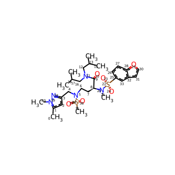 Cc1cc(CN(CC[C@@H](C(=O)N(CC(C)C)CC(C)C)N(C)S(=O)(=O)c2ccc3occc3c2)S(C)(=O)=O)nn1C